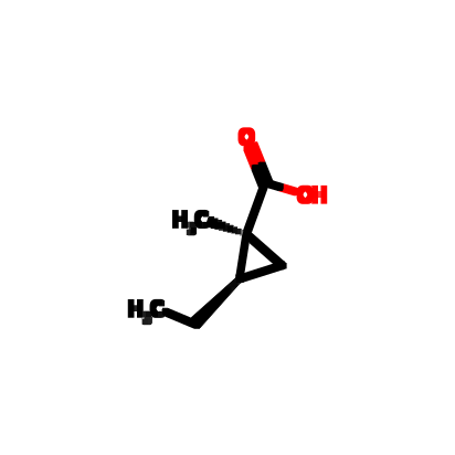 CC[C@@H]1C[C@]1(C)C(=O)O